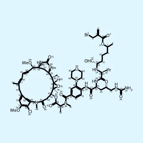 C=C(CBr)C(=O)OC(C)CCC[C@@H](C=O)N[C@H](C(=O)N[C@@H](CCCNC(N)=O)C(=O)Nc1ccc(C(=O)N(C)[C@@H](C)C(=O)O[C@H]2CC(=O)N(C)c3cc(cc(OC)c3Cl)C/C(C)=C/C=C/[C@@H](OC)[C@@]3(O)C[C@H](OC(=O)N3)[C@@H](C)[C@@H]3O[C@@]23C)cc1N1CCOCC1)C(C)C